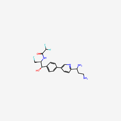 NCCC(N)c1ccc(-c2ccc([C@@H](O)[C@@H](CF)NC(=O)C(F)F)cc2)cn1